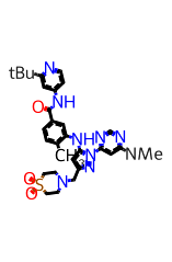 CNc1cc(-n2nc(CN3CCS(=O)(=O)CC3)cc2Nc2cc(C(=O)Nc3ccnc(C(C)(C)C)c3)ccc2C)ncn1